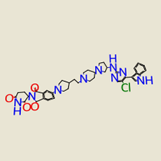 O=C1CCC(N2C(=O)c3ccc(N4CCC(CCN5CCC(N6CC[C@@H](Nc7ncc(Cl)c(-c8c[nH]c9ccccc89)n7)C6)CC5)CC4)cc3C2=O)C(=O)N1